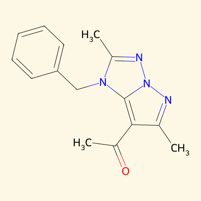 CC(=O)c1c(C)nn2nc(C)n(Cc3ccccc3)c12